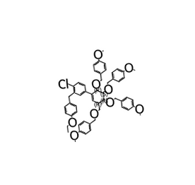 CCOc1ccc(Cc2cc(C3=C[C@H](COCc4ccc(OC)cc4)[C@@H](OCc4ccc(OC)cc4)[C@H](OCc4ccc(OC)cc4)[C@@H]3OCc3ccc(OC)cc3)ccc2Cl)cc1